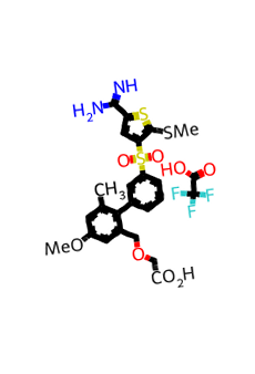 COc1cc(C)c(-c2cccc(S(=O)(=O)c3cc(C(=N)N)sc3SC)c2)c(COCC(=O)O)c1.O=C(O)C(F)(F)F